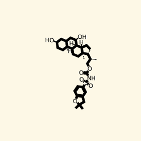 C[C@H](COC(=O)NS(=O)(=O)c1ccc2c(c1)CC(C)(C)O2)[C@H]1CC[C@H]2[C@@H]3[C@H](O)CC4C[C@H](O)CC[C@]4(C)[C@H]3CC[C@]12C